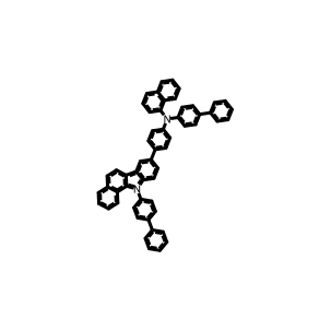 c1ccc(-c2ccc(N(c3ccc(-c4ccc5c(c4)c4ccc6ccccc6c4n5-c4ccc(-c5ccccc5)cc4)cc3)c3cccc4ccccc34)cc2)cc1